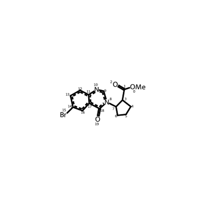 COC(=O)C1CCCC1n1cnc2ccc(Br)cc2c1=O